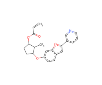 C=CC(=O)OC1CCC(Oc2ccc3cc(-c4cccnc4)oc3c2)C1C(F)(F)F